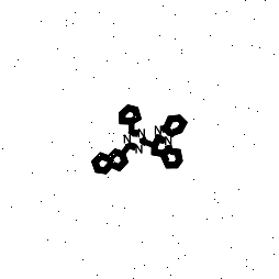 c1ccc(-c2nc(-c3ccc4ccccc4c3)nc(-c3cc4ccccc4n4c3nc3ccccc34)n2)cc1